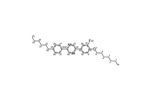 CCCCCCCOc1ccc(-c2cnc(-c3ccc(CCCCCC)cc3)cn2)cc1F